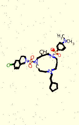 C[C@H]1CN(S(=O)(=O)c2ccc(N(C)C)cc2)CCCN(CCC2CCCC2)CCCN(S(=O)(=O)N2CCc3cc(Cl)ccc3C2)C1